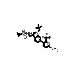 CC(C)(C)Cn1cc(CNS(=O)(=O)C2CC2)c2ccc(-c3ccc(N)nc3C(F)(F)F)cc21